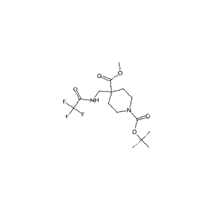 COC(=O)C1(CNC(=O)C(F)(F)F)CCN(C(=O)OC(C)(C)C)CC1